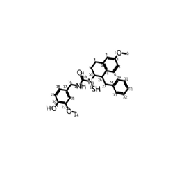 COc1ccc2c(c1)CCC(N(S)C(=O)NCc1ccc(O)c(OC)c1)C2Cc1ccccc1